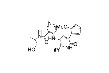 COc1ccccc1-c1cc(Nc2ccncc2C(=O)NC(C)CO)c(C(C)C)[nH]c1=O